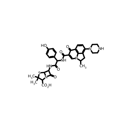 CC1Cc2c(N3CCNCC3)ccc3c(=O)c(C(=O)NC(C(=O)NC4C(=O)N5C4SC(C)(C)C5C(=O)O)c4ccc(O)cc4)cn1c23